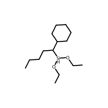 CCCCC(C1CCCCC1)[SiH](OCC)OCC